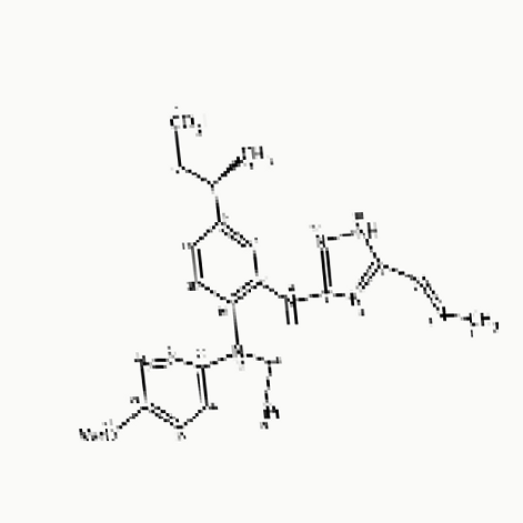 C/N=C/c1nc(Nc2cc([C@H](C)CC(=O)O)ccc2N(CC(C)C)c2ccc(OC)cc2)n[nH]1